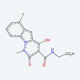 Cn1c(=O)c(C(=O)NCC(=O)O)c(O)c2cc3c(F)cccc3n21